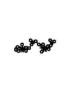 c1ccc(-c2nc(-c3cccc4c3oc3cc(-n5c6ccccc6c6ccccc65)ccc34)nc(-c3cccc4c3sc3ccc(-c5cccc(-n6c7ccccc7c7cc(-c8ccc9c(c8)oc8c(-c%10nc(-c%11ccccc%11)nc(-c%11cccc%12oc%13ccccc%13c%11%12)n%10)cccc89)ccc76)c5)cc34)n2)cc1